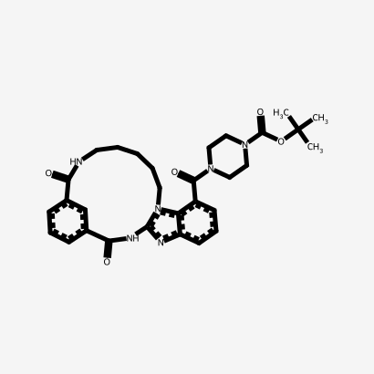 CC(C)(C)OC(=O)N1CCN(C(=O)c2cccc3nc4n(c23)CCCCCNC(=O)c2cccc(c2)C(=O)N4)CC1